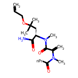 C=CCOC(C)(C)C[C@@H](C(N)=O)N(C)C(=O)C(=C)N(C)C(=O)CCC